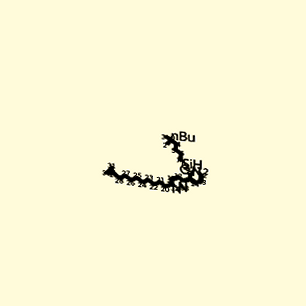 CCCCC(C)(C)CCCC[SiH2]Oc1ncccc1-c1ccc(CCCCCCCCCC2CC2)nn1